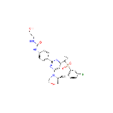 C[C@H]1COCCN1c1cc(C2(S(=O)(=O)c3cccc(F)c3)CC2)nc(-c2ccc(NC(=O)NCCO)cc2)n1